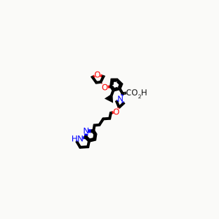 O=C(O)C(c1cccc(O[C@@H]2CCOC2)c1C1CC1)N1CC(OCCCCCc2ccc3c(n2)NCCC3)C1